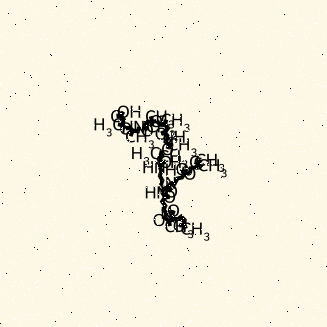 CC(CNC(=O)CC(C)(C)OCC(C)CC(=O)NCC(C)OCC(C)(C)CC(=O)NCCCC[C@H](NC(=O)CCCN1C(=O)C(C)C(C2C=CC(C)O2)C1=O)C(=O)NCCCC(=O)OCCS(C)(C)C)COC(C)CC(=O)O